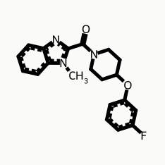 Cn1c(C(=O)N2CCC(Oc3cccc(F)c3)CC2)nc2ccccc21